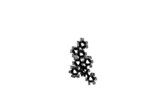 c1ccc(-c2cc(-c3ccccc3-c3ccccc3-c3ccc4c5c(cccc35)-c3ccccc3-4)nc(-c3ccccc3)n2)cc1